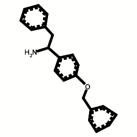 NC(Cc1ccccc1)c1ccc(OCc2ccccc2)cc1